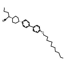 CCCCCCCCCCOc1ccc(-c2ccc([C@H]3CC[C@H](C(C#N)CCC)CC3)cc2)cc1